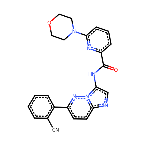 N#Cc1ccccc1-c1ccc2ncc(NC(=O)c3cccc(N4CCOCC4)n3)n2n1